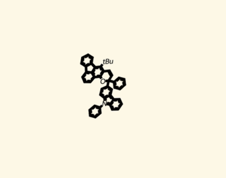 CC(C)(C)c1c2c(c3cccc4c3c1-c1ccccc1-4)OC(c1ccccc1)(c1ccc3c(c1)c1ccccc1n3-c1ccccc1)C=C2